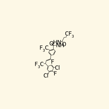 O=C(CCC(F)(F)F)NNC(=O)c1ccc(C(F)=CC(c2cc(Cl)c(F)c(Cl)c2)C(F)(F)F)cc1C(F)(F)F